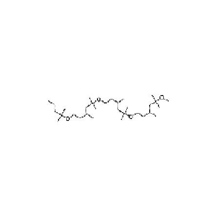 CCCC(C)(C)OCCC(C)CC(C)(C)OCCC(C)CC(C)(C)OCCC(C)CC(C)(C)OC